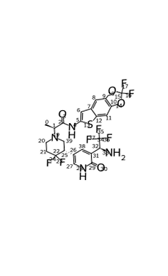 C[C@@H](C(=O)Nc1cc2cc3c(cc2s1)OC(F)(F)O3)N1CCC(F)(F)[C@@H](c2c[nH]c(=O)c([C@H](N)C(F)(F)F)c2)C1